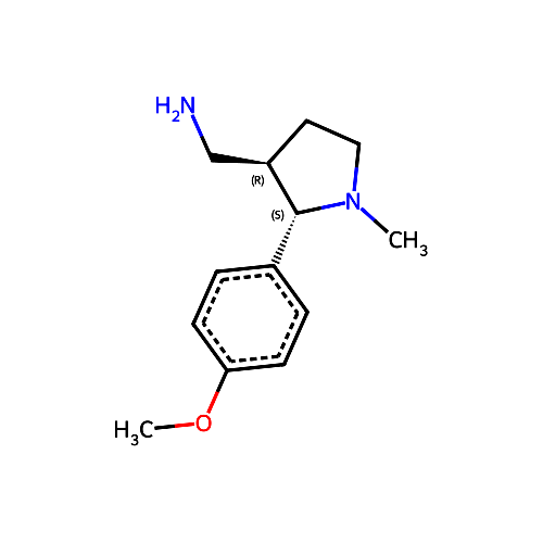 COc1ccc([C@@H]2[C@@H](CN)CCN2C)cc1